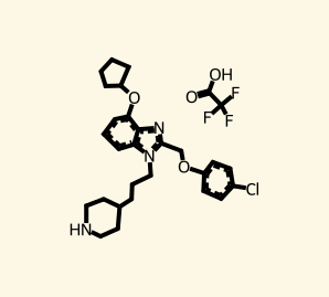 Clc1ccc(OCc2nc3c(OC4CCCC4)cccc3n2CCCC2CCNCC2)cc1.O=C(O)C(F)(F)F